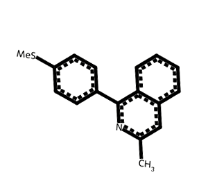 CSc1ccc(-c2nc(C)cc3ccccc23)cc1